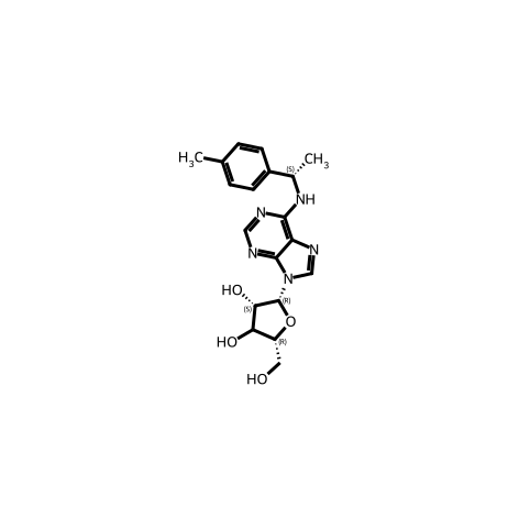 Cc1ccc([C@H](C)Nc2ncnc3c2ncn3[C@@H]2O[C@H](CO)C(O)[C@@H]2O)cc1